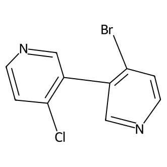 Clc1ccncc1-c1cnccc1Br